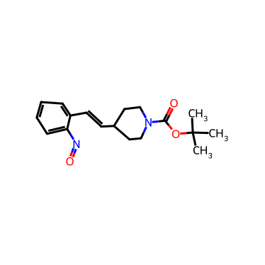 CC(C)(C)OC(=O)N1CCC(/C=C/c2ccccc2N=O)CC1